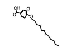 CCCCCCCCCCCCOc1ccc(C(=O)O)cc1Cl